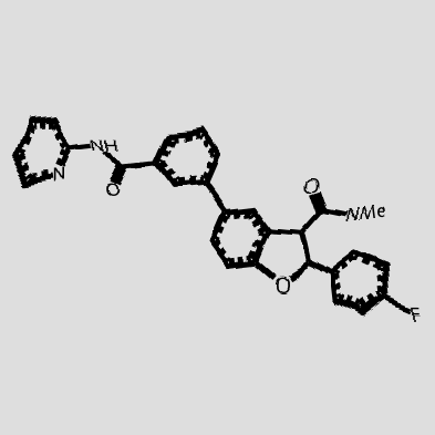 CNC(=O)C1c2cc(-c3cccc(C(=O)Nc4ccccn4)c3)ccc2OC1c1ccc(F)cc1